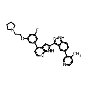 Cc1ccncc1-c1ccc2[nH]nc(-c3cc4c(-c5cc(F)cc(OCCN6CCCC6)c5)ccnc4[nH]3)c2c1